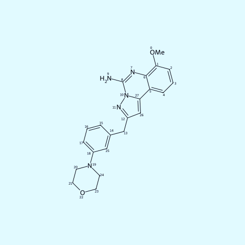 COc1cccc2c1nc(N)n1nc(Cc3cccc(N4CCOCC4)c3)cc21